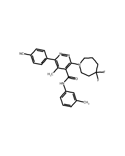 Cc1cccc(NC(=O)c2c(N3CCCC(F)(F)CC3)nnc(-c3ccc(C#N)cc3)c2C)c1